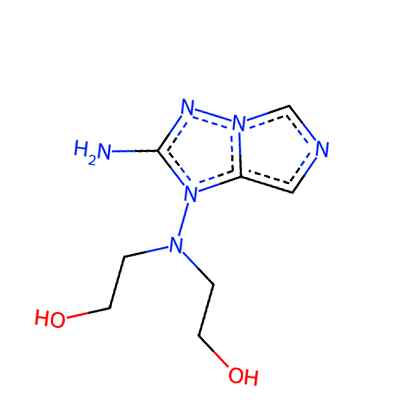 Nc1nn2cncc2n1N(CCO)CCO